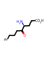 CC(C)CCCC(=O)[C@@H](N)CCC(=O)O